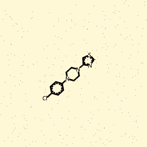 Clc1ccc(N2CCN(c3cs[c]n3)CC2)cc1